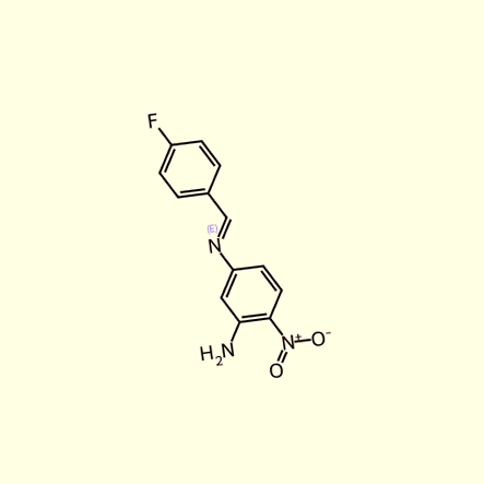 Nc1cc(/N=C/c2ccc(F)cc2)ccc1[N+](=O)[O-]